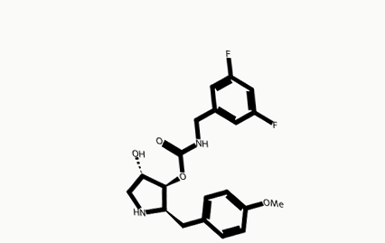 COc1ccc(C[C@H]2NC[C@H](O)[C@H]2OC(=O)NCc2cc(F)cc(F)c2)cc1